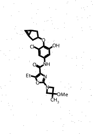 CCc1oc(N2CC(C)(OC)C2)nc1C(=O)Nc1cc(O)c(OC2CC3=CC3C2)c(Cl)c1